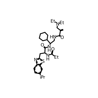 C=C(CN(CC)CC)C(=O)NCC(NC(=O)C(Cc1nc2ccc(C(C)C)cc2s1)NC(=O)CC)C1CCCCC1